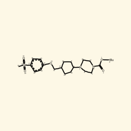 CC(C)(C)OC(=O)N1CCN(C2CCC(COc3ccc(S(C)(=O)=O)cc3)CC2)CC1